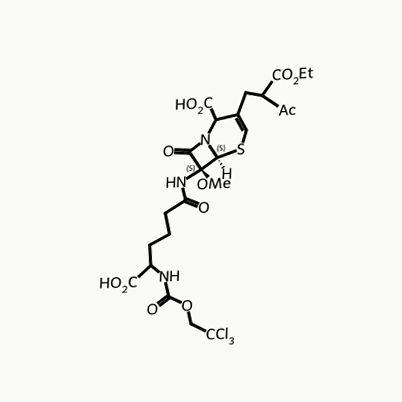 CCOC(=O)C(CC1=CS[C@@H]2N(C(=O)[C@]2(NC(=O)CCCC(NC(=O)OCC(Cl)(Cl)Cl)C(=O)O)OC)C1C(=O)O)C(C)=O